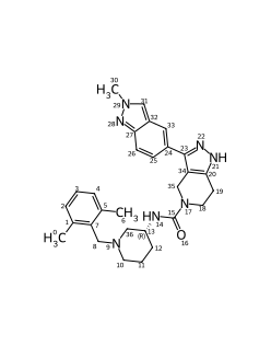 Cc1cccc(C)c1CN1CCC[C@@H](NC(=O)N2CCc3[nH]nc(-c4ccc5nn(C)cc5c4)c3C2)C1